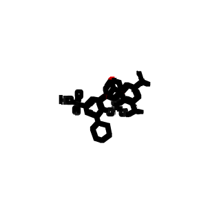 CC(C)c1cc(C(C)C)c(S(=O)(=O)Oc2c(C3CCCCC3)cc(S(=O)(=O)O)cc2C2CCCCC2)c(C(C)C)c1